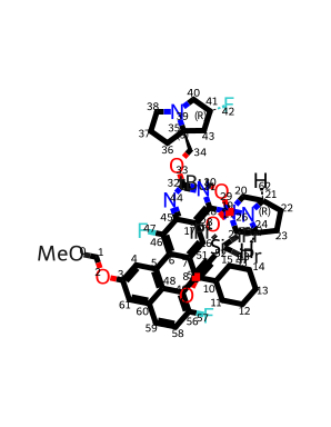 COCOc1cc(-c2c(C(=O)C3CCCCC3)cc3c(N4C[C@H]5CC[C@@H](C4)N5C(=O)OC(C)(C)C)nc(OC[C@@]45CCCN4C[C@H](F)C5)nc3c2F)c2c(C#C[Si](C(C)C)(C(C)C)C(C)C)c(F)ccc2c1